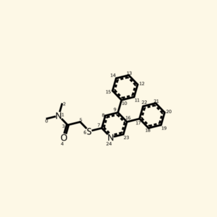 CN(C)C(=O)CSc1cc(-c2ccccc2)c(-c2ccccc2)cn1